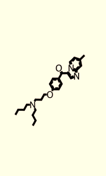 CCCCN(CCCC)CCCOc1ccc(C(=O)c2cnc3cc(C)ccn23)cc1